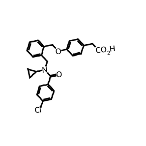 O=C(O)Cc1ccc(OCc2ccccc2CN(C(=O)c2ccc(Cl)cc2)C2CC2)cc1